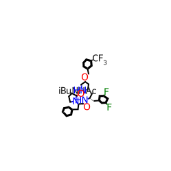 CCC(C)[C@@]1(NC(C)=O)CCN(C(Cc2ccccc2)C(=O)N[C@@H](Cc2cc(F)cc(F)c2)C[C@H]2C[C@@H](OCc3cccc(C(F)(F)F)c3)CN2)C1=O